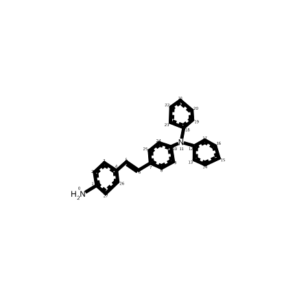 Nc1ccc(C=Cc2ccc(N(c3ccccc3)c3ccccc3)cc2)cc1